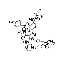 C[C@H](Oc1cc(-c2nn(COCC[Si](C)(C)C)c(Nc3cnccn3)c2C(N)=O)ccc1NS(=O)(=O)C(F)F)c1ccc(Cl)cc1